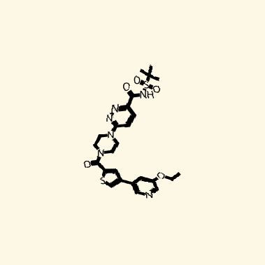 CCOc1cncc(-c2csc(C(=O)N3CCN(c4ccc(C(=O)NS(=O)(=O)C(C)(C)C)nn4)CC3)c2)c1